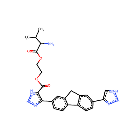 CC(C)C(N)C(=O)OCCOC(=O)c1[nH]nnc1-c1ccc2c(c1)Cc1cc(-c3c[nH]nn3)ccc1-2